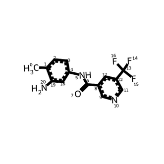 Cc1ccc(NC(=O)c2cncc(C(F)(F)F)c2)cc1N